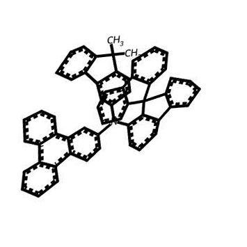 CC1(C)c2ccccc2-c2cc(N(c3ccc4c5ccccc5c5ccccc5c4c3)c3cccc4c3C3(c5ccccc5-c5ccccc53)c3ccccc3-4)ccc21